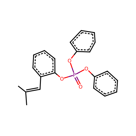 CC(C)=Cc1ccccc1OP(=O)(Oc1ccccc1)Oc1ccccc1